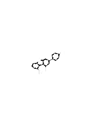 Clc1ccc(-c2cc(I)c3c(c2)sc2cccc(Br)c23)cc1